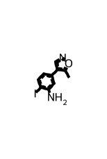 Cc1oncc1-c1ccc(I)c(N)c1